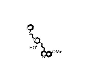 COc1ccc2nccc(CCC[C@@H]3CCN(CCSc4ccccn4)C[C@@H]3CO)c2c1